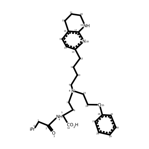 CC(C)CC(=O)NC(CCN(CCCCc1ccc2c(n1)NCCC2)CCOc1ccccc1)C(=O)O